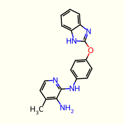 Cc1ccnc(Nc2ccc(Oc3nc4ccccc4[nH]3)cc2)c1N